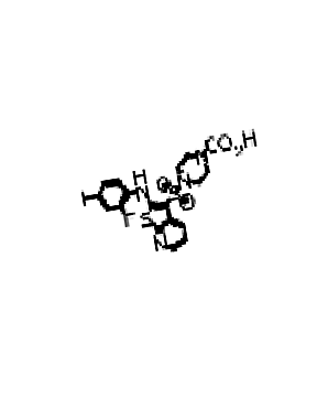 O=C(O)N1CCN(S(=O)(=O)c2c(Nc3ccc(I)cc3F)sc3ncccc23)CC1